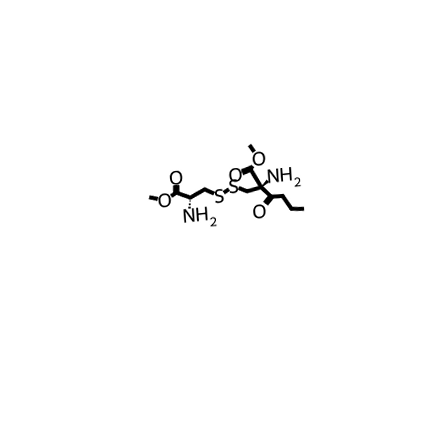 CCCC(=O)[C@](N)(CSSC[C@H](N)C(=O)OC)C(=O)OC